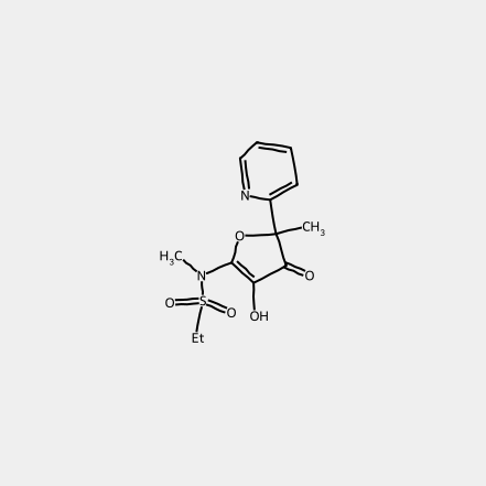 CCS(=O)(=O)N(C)C1=C(O)C(=O)C(C)(c2ccccn2)O1